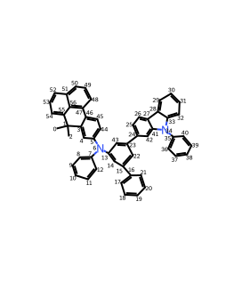 CC1(C)c2cc(N(c3ccccc3)c3cc(-c4ccccc4)cc(-c4ccc5c6ccccc6n(-c6ccccc6)c5c4)c3)ccc2-c2cccc3cccc1c23